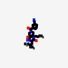 CCCN1C(=O)C(CC(C)C)NC(=O)C12CCN(C(=O)c1cccc(C#N)c1)CC2